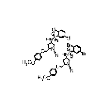 COc1ccc(OC[C@H]2C[C@@H](NS(=O)(=O)c3cc(Br)ccc3Br)CN2C#N)cc1.COc1ccc(OC[C@H]2C[C@@H](NS(=O)(=O)c3cc(Cl)ccc3Cl)CN2C#N)cc1